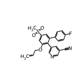 C=CCOc1cc(S(C)(=O)=O)cc(-c2ccc(F)cc2)c1-c1cncc(C#N)c1